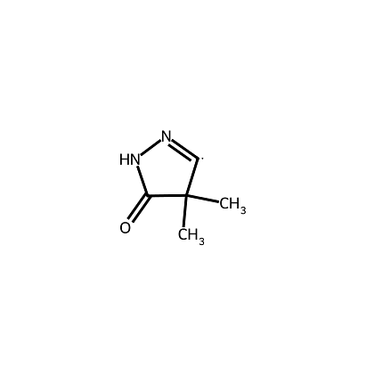 CC1(C)[C]=NNC1=O